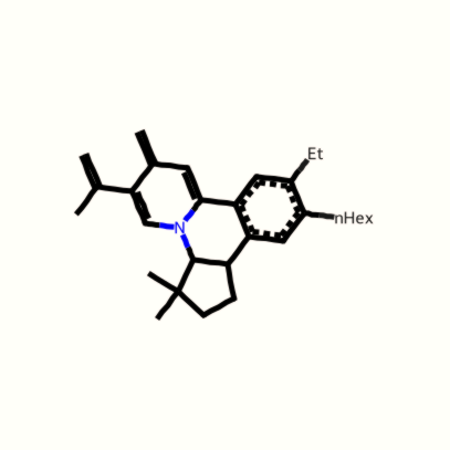 C=C(C)C1=CN2C(=CC1=C)c1cc(CC)c(CCCCCC)cc1C1CCC(C)(C)C12